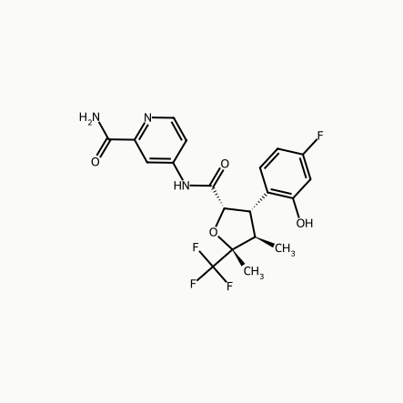 C[C@@H]1[C@@H](c2ccc(F)cc2O)[C@@H](C(=O)Nc2ccnc(C(N)=O)c2)O[C@@]1(C)C(F)(F)F